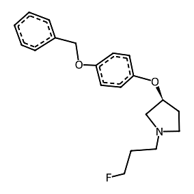 FCCCN1CC[C@H](Oc2ccc(OCc3ccccc3)cc2)C1